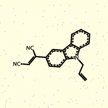 C=CCn1c2ccccc2c2cc(C(C#N)=CC#N)ccc21